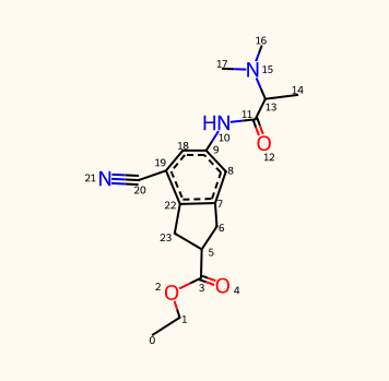 CCOC(=O)C1Cc2cc(NC(=O)C(C)N(C)C)cc(C#N)c2C1